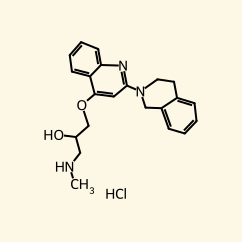 CNCC(O)COc1cc(N2CCc3ccccc3C2)nc2ccccc12.Cl